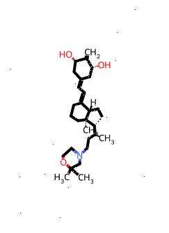 C=C1[C@H](O)CC(=C/C=C2\CCC[C@]3(C)[C@@H]([C@H](C)CCN4CCOC(C)(C)C4)CC[C@@H]23)C[C@H]1O